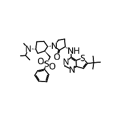 CC(C)N(C)[C@@H]1CC[C@H](N2CC[C@H](Nc3ncnc4cc(C(C)(C)C)sc34)C2=O)[C@@H](CS(=O)(=O)c2ccccc2)C1